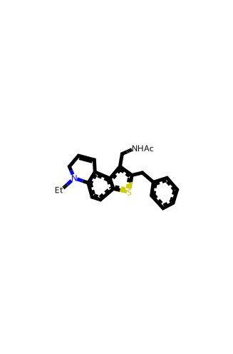 CCN1CC=Cc2c1ccc1sc(Cc3ccccc3)c(CNC(C)=O)c21